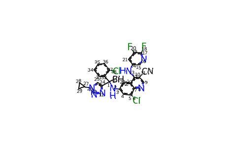 BC(Nc1cc(Cl)c2ncc(C#N)c(Nc3cnc(F)c(F)c3)c2c1)(c1cn(C2CC2)nn1)c1ccccc1Cl